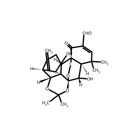 C=C1C(O)[C@@]23[C@@H]4OC(C)(C)O[C@]25OC[C@]2(C(=O)C(C=O)=CC(C)(C)[C@H]2[C@@H]5O)[C@@H]3CC[C@@H]14